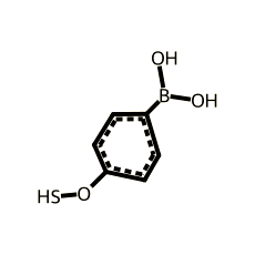 OB(O)c1ccc(OS)cc1